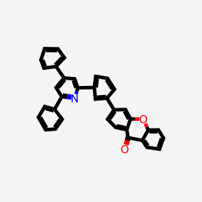 O=c1c2ccccc2oc2cc(-c3cccc(-c4cc(-c5ccccc5)cc(-c5ccccc5)n4)c3)ccc12